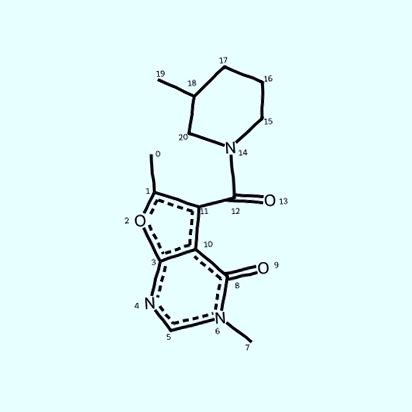 Cc1oc2ncn(C)c(=O)c2c1C(=O)N1CCCC(C)C1